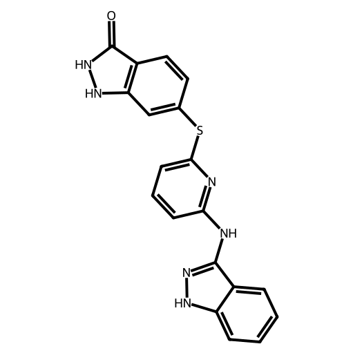 O=c1[nH][nH]c2cc(Sc3cccc(Nc4n[nH]c5ccccc45)n3)ccc12